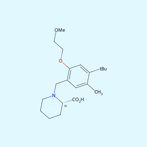 COCCOc1cc(C(C)(C)C)c(C)cc1CN1CCCC[C@H]1C(=O)O